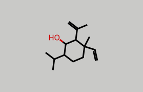 C=CC1(C)CCC(C(C)C)C(O)C1C(=C)C